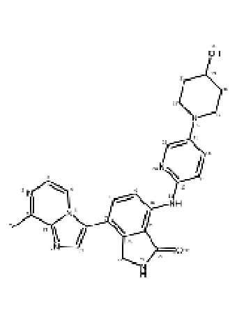 Cc1nccn2c(-c3ccc(Nc4ccc(N5CCC(O)CC5)cn4)c4c3CNC4=O)cnc12